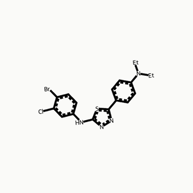 CCN(CC)c1ccc(-c2nnc(Nc3ccc(Br)c(Cl)c3)s2)cc1